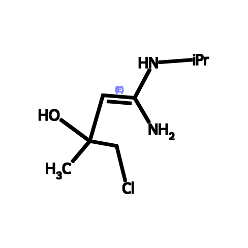 CC(C)N/C(N)=C/C(C)(O)CCl